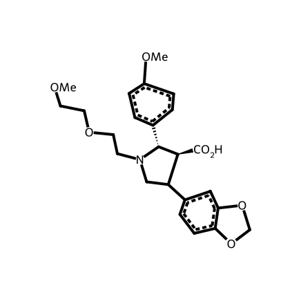 COCCOCCN1CC(c2ccc3c(c2)OCO3)[C@H](C(=O)O)[C@H]1c1ccc(OC)cc1